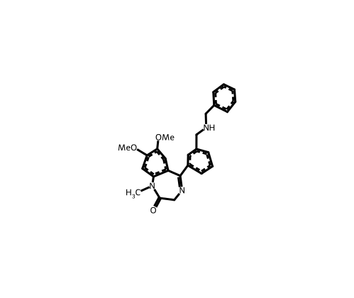 COc1cc2c(cc1OC)N(C)C(=O)CN=C2c1cccc(CNCc2ccccc2)c1